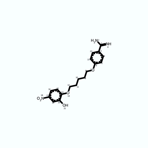 N=C(N)c1ccc(OCCCCCOc2ccc([N+](=O)[O-])cc2O)cc1